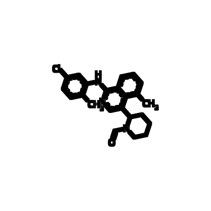 Cc1ccc(Cl)cc1Nc1ncc(C2CCCCN2C=O)c2c(C)cccc12